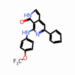 O=c1[nH]ccc2cc(-c3ccccc3)nc(Nc3ccc(OC(F)(F)F)cc3)c12